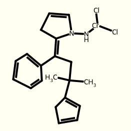 CC(C)(CC(=C1CC=CN1[NH][Cr]([Cl])[Cl])c1ccccc1)C1=CC=CC1